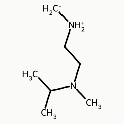 [CH2-][NH2+]CCN(C)C(C)C